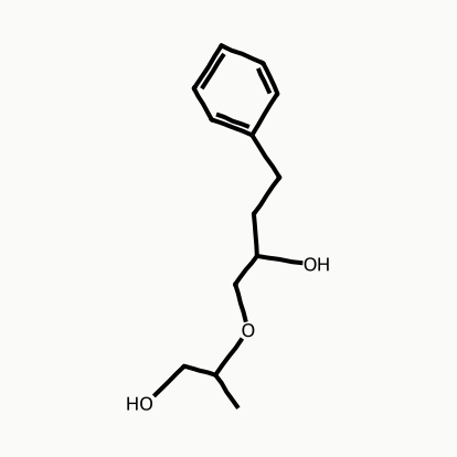 CC(CO)OCC(O)CCc1ccccc1